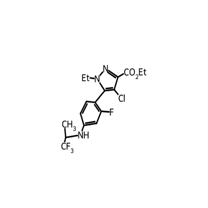 CCOC(=O)c1nn(CC)c(-c2ccc(NC(C)C(F)(F)F)cc2F)c1Cl